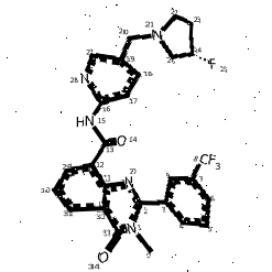 Cn1c(-c2cccc(C(F)(F)F)c2)nc2c(C(=O)Nc3ccc(CN4CC[C@H](F)C4)cn3)cccc2c1=O